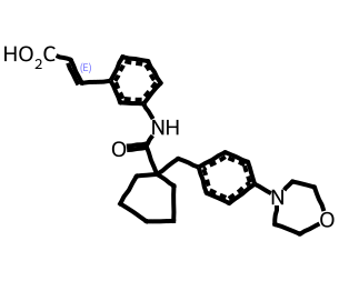 O=C(O)/C=C/c1cccc(NC(=O)C2(Cc3ccc(N4CCOCC4)cc3)CCCCC2)c1